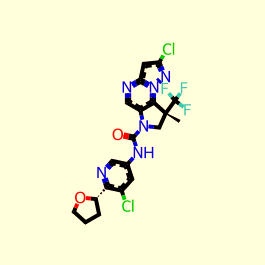 C[C@@]1(C(F)(F)F)CN(C(=O)Nc2cnc([C@@H]3CCCO3)c(Cl)c2)c2cnc3cc(Cl)nn3c21